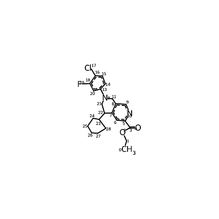 CCOC(=O)c1cc2c(cn1)CN(c1ccc(Cl)c(F)c1)CC2C1CCCCC1